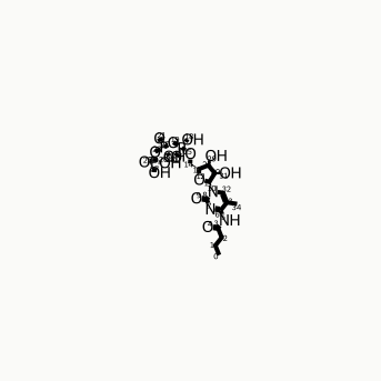 CCCC(=O)Nc1nc(=O)n([C@@H]2O[C@H](COP(=O)(O)OP(=O)(O)OP(=O)(O)O)[C@@H](O)[C@H]2O)cc1C